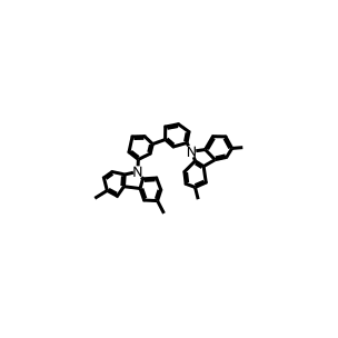 Cc1ccc2c(c1)c1cc(C)ccc1n2-c1cccc(-c2cccc(-n3c4ccc(C)cc4c4cc(C)ccc43)c2)c1